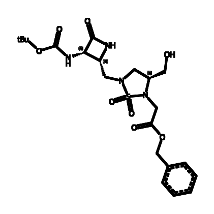 CC(C)(C)OC(=O)N[C@@H]1C(=O)N[C@@H]1CN1C[C@@H](CO)N(CC(=O)OCc2ccccc2)S1(=O)=O